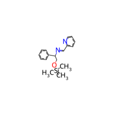 C[Si](C)(C)OCC(N=Cc1ccccn1)c1ccccc1